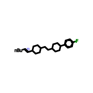 CCCC/C=C/C1CCC(CCC2CCC(c3ccc(F)cc3)CC2)CC1